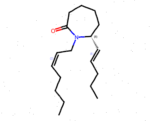 CCC/C=C/[C@H]1CCCCC(=O)N1C/C=C\CCCC